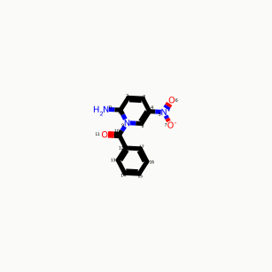 NC1C=CC([N+](=O)[O-])=CN1C(=O)c1ccccc1